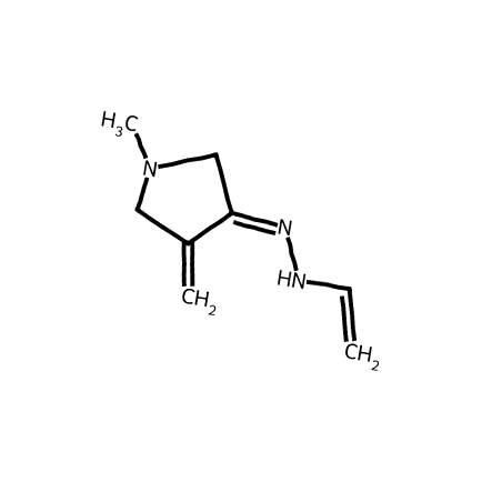 C=CN/N=C1/CN(C)CC1=C